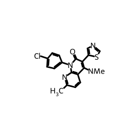 CNc1c(-c2cncs2)c(=O)n(-c2ccc(Cl)cc2)c2nc(C)ccc12